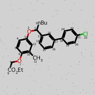 CCCCC(Oc1ccc(OCC(=O)OCC)c(C)c1)c1cccc(-c2ccc(Cl)cc2)c1